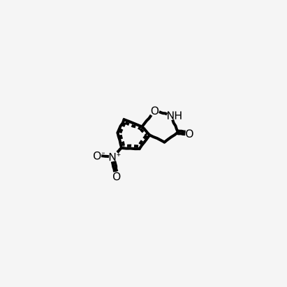 O=C1Cc2cc([N+](=O)[O-])ccc2ON1